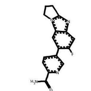 NC(=O)c1ccc(-c2cc3c(cc2F)nc2n3CCC2)cn1